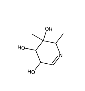 CC1N=CC(O)C(O)C1(C)O